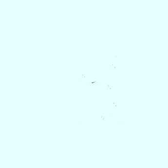 C=CC(=O)N1CCN(c2nc(=O)n3c4c(c(-c5ccc(F)cc5F)c(Cl)cc24)SCC3)[C@@H](CN)C1